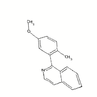 COc1ccc(C)c(-c2nccc3ccccc23)c1